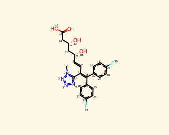 Cn1nnnc1C(/C=C/[C@@H](O)C[C@@H](O)CC(=O)O)=C(c1ccc(F)cc1)c1ccc(F)cc1